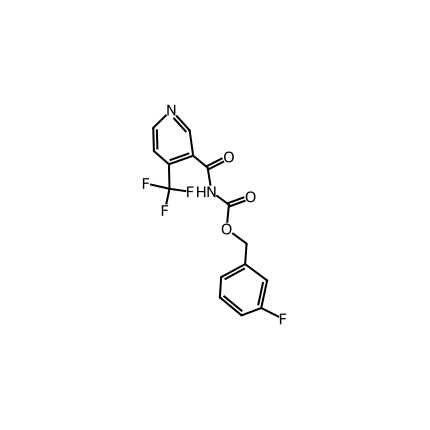 O=C(NC(=O)c1cnccc1C(F)(F)F)OCc1cccc(F)c1